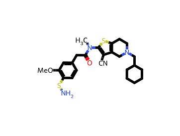 COc1cc(CC(=O)N(C)c2sc3c(c2C#N)CN(CC2CCCCC2)CC3)ccc1SN